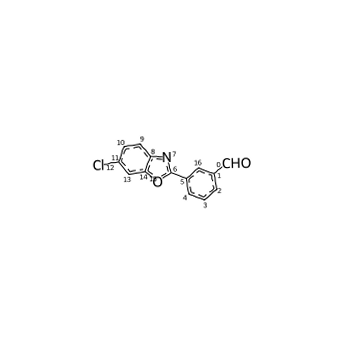 O=Cc1cccc(-c2nc3ccc(Cl)cc3o2)c1